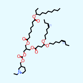 CC/C=C\CCCCOC(CCC(=O)OCC(COC(=O)CCCCCCC(=O)OC(CC)CCCCCCCC)COC(=O)OCC1CCCN(CC)C1)OCCCC/C=C\CC